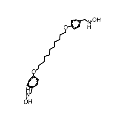 ONCc1ccc(OCCCCCCCCCCCOc2ccc(CNO)cc2)cc1